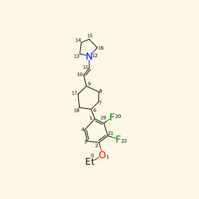 CCOc1ccc(C2CCC(C=CN3CCCC3)CC2)c(F)c1F